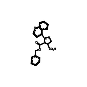 O=C(O)C1CS[C@H](c2ccnc3ccccc23)N1C(=O)OCc1ccccc1